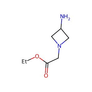 CCOC(=O)CN1CC(N)C1